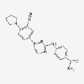 N#Cc1cc(-c2ccnc(Nc3ccc(C(N)=O)cc3)n2)ccc1N1CCCC1